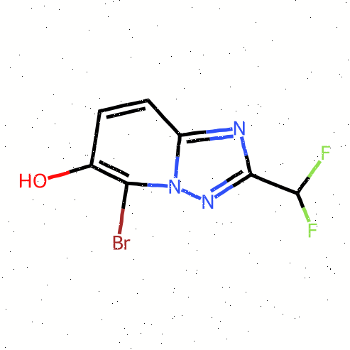 Oc1ccc2nc(C(F)F)nn2c1Br